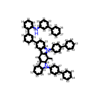 CC1c2c(c3cc(-c4cccc(-c5ccccc5Nc5cccc(-c6ccccc6)c5)c4)ccc3n2-c2ccc(-c3ccccc3)cc2)C=C2c3ccccc3N(c3ccc(-c4ccccc4)cc3)C21